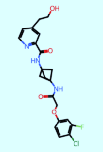 O=C(COc1ccc(Cl)c(F)c1)NC12CC(NC(=O)c3cc(CCO)ccn3)(C1)C2